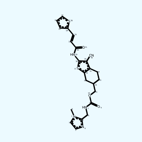 Cn1ccnc1CNC(=O)OCC1CCc2c(sc(NC(=O)C=Cc3cccs3)c2C#N)C1